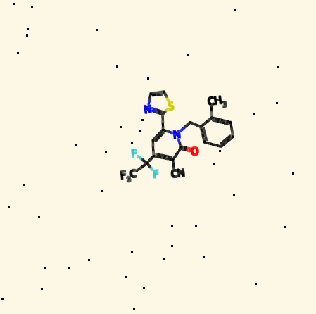 Cc1ccccc1Cn1c(-c2nccs2)cc(C(F)(F)C(F)(F)F)c(C#N)c1=O